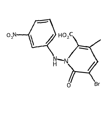 Cc1cc(Br)c(=O)n(Nc2cccc([N+](=O)[O-])c2)c1C(=O)O